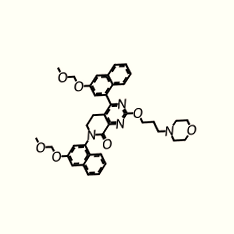 COCOc1cc(-c2nc(OCCCN3CCOCC3)nc3c2CCN(c2cc(OCOC)cc4ccccc24)C3=O)c2ccccc2c1